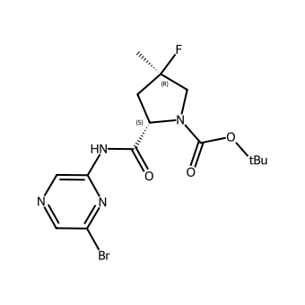 CC(C)(C)OC(=O)N1C[C@](C)(F)C[C@H]1C(=O)Nc1cncc(Br)n1